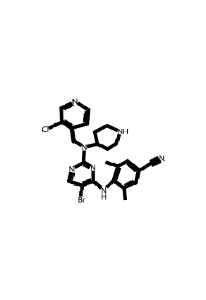 Cc1cc(C#N)cc(C)c1Nc1nc(N(Cc2ccncc2Cl)C2CCNCC2)ncc1Br